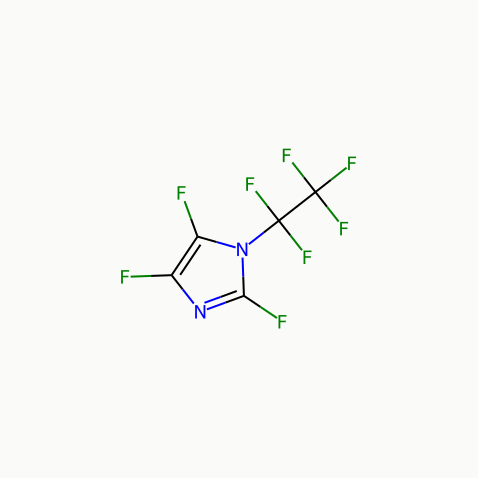 Fc1nc(F)n(C(F)(F)C(F)(F)F)c1F